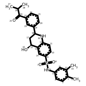 Cc1ccc(NS(=O)(=O)c2ccc3c(c2)[C@@H](O)CC(c2cccc(C(=O)C(C)C)c2)N3)cc1C